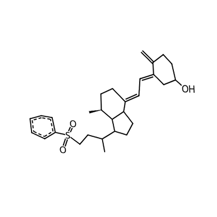 C=C1CCC(O)CC1=CC=C1CC[C@H](C)C2C1CCC2C(C)CCS(=O)(=O)c1ccccc1